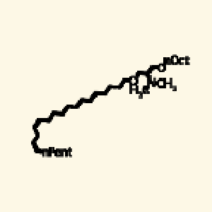 CCCCC/C=C\C/C=C\CCCCCCCCCCCCOCC(COCCCCCCCC)N(C)C